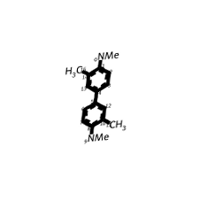 CNc1ccc(-c2ccc(NC)c(C)c2)cc1C